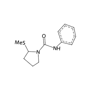 CSC1CCCN1C(=O)Nc1ccccc1